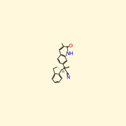 Cc1cc2ccc([C@](C)(C#N)[C@H]3CCc4ccccc43)cc2[nH]c1=O